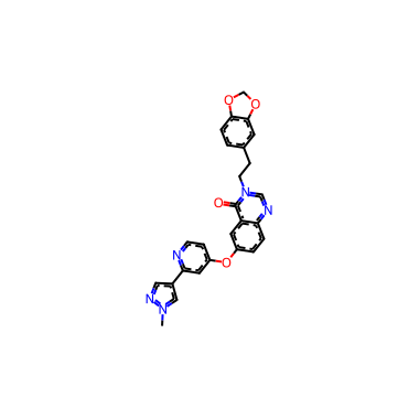 Cn1cc(-c2cc(Oc3ccc4ncn(CCc5ccc6c(c5)OCO6)c(=O)c4c3)ccn2)cn1